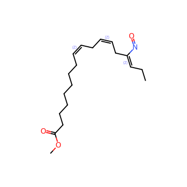 CC/C=C(/C/C=C\C/C=C\CCCCCCCC(=O)OC)N=O